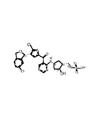 O=C(c1cc([C@H]2OCc3ccc(Cl)cc32)c(Cl)s1)c1cncnc1N[C@@H]1C[C@H](CNS(=O)(=O)O)[C@@H](O)C1